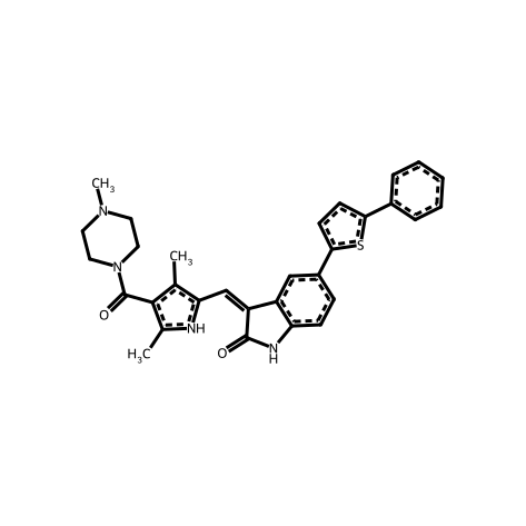 Cc1[nH]c(/C=C2\C(=O)Nc3ccc(-c4ccc(-c5ccccc5)s4)cc32)c(C)c1C(=O)N1CCN(C)CC1